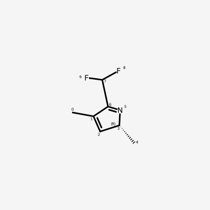 CC1=C[C@@H](C)N=C1C(F)F